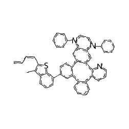 C=C/C=C\c1sc2c(-c3ccc4c(c3)c3ccccc3c3cccnc3c3cc5c(cc43)n(-c3ccccc3)ccn5-c3ccccc3)cccc2c1C